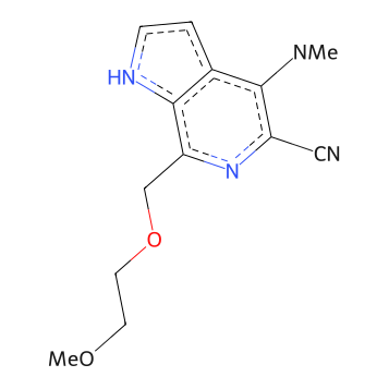 CNc1c(C#N)nc(COCCOC)c2[nH]ccc12